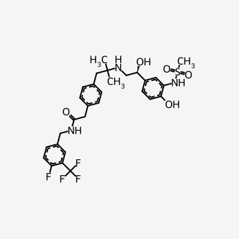 CC(C)(Cc1ccc(CC(=O)NCc2ccc(F)c(C(F)(F)F)c2)cc1)NC[C@@H](O)c1ccc(O)c(NS(C)(=O)=O)c1